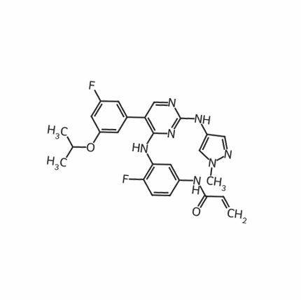 C=CC(=O)Nc1ccc(F)c(Nc2nc(Nc3cnn(C)c3)ncc2-c2cc(F)cc(OC(C)C)c2)c1